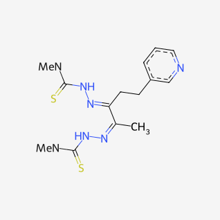 CNC(=S)N/N=C(C)\C(CCc1cccnc1)=N\NC(=S)NC